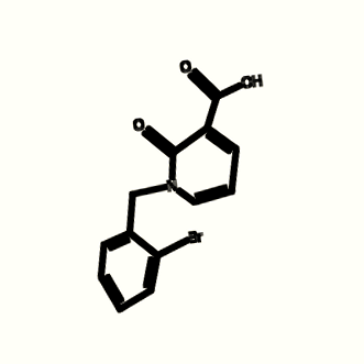 O=C(O)c1cccn(Cc2ccccc2Br)c1=O